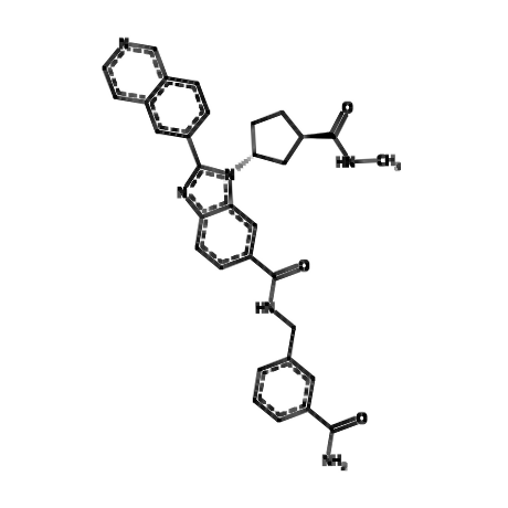 CNC(=O)[C@@H]1CC[C@@H](n2c(-c3ccc4cnccc4c3)nc3ccc(C(=O)NCc4cccc(C(N)=O)c4)cc32)C1